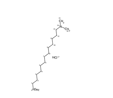 CCCCCCCCCCCCCCCCCCCCCCCN(C)C.Cl